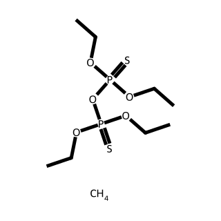 C.CCOP(=S)(OCC)OP(=S)(OCC)OCC